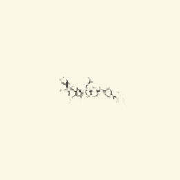 COc1cc(C(=O)N2CC3CCC2C3N)cc2nc(-c3cc4ccc(Nc5ccc(C(N)=O)cc5)nc4n3CC3CC3)n(C)c12